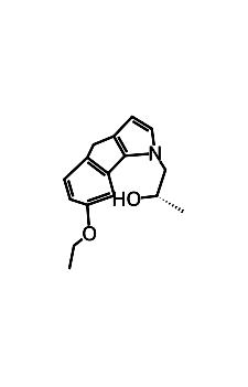 CCOc1ccc2c(c1)-c1c(ccn1C[C@H](C)O)C2